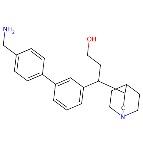 NCc1ccc(-c2cccc(C(CCO)C3CN4CCC3CC4)c2)cc1